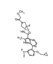 COCC(=O)N1C[C@@H](NC(=O)c2c(C)[nH]c3c(-c4cc(C(F)F)ccc4OCC4CC4)ncnc23)C(F)(F)C1